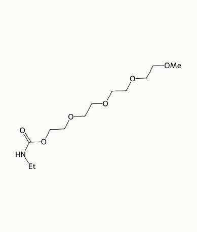 CCNC(=O)OCCOCCOCCOCCOC